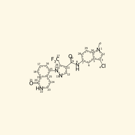 Cn1cc(Cl)c2cc(NC(=O)c3cnn(-c4cccc5c(=O)[nH]ccc45)c3C(F)(F)F)ccc21